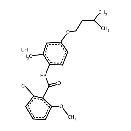 COc1cccc(Cl)c1C(=O)Pc1ccc(OCCC(C)C)cc1C.[LiH]